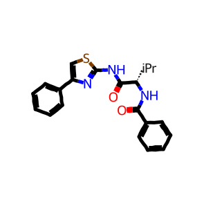 CC(C)[C@H](NC(=O)c1ccccc1)C(=O)Nc1nc(-c2ccccc2)cs1